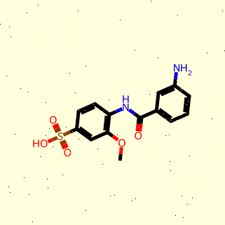 COc1cc(S(=O)(=O)O)ccc1NC(=O)c1cccc(N)c1